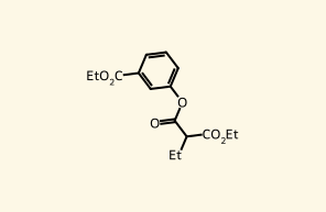 CCOC(=O)c1cccc(OC(=O)C(CC)C(=O)OCC)c1